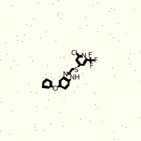 FC(F)(F)c1cc(SCc2nc3cc(Oc4ccccc4)ccc3[nH]2)cc(Cl)n1